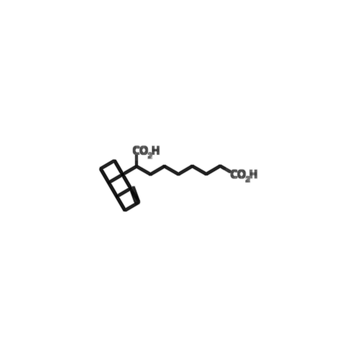 O=C(O)CCCCCCC(C(=O)O)C12C3=C4C5C3C1C5C42